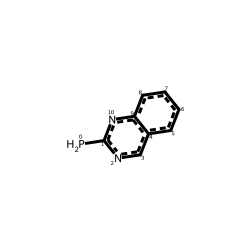 Pc1ncc2ccccc2n1